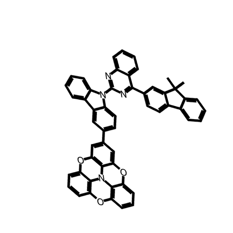 CC1(C)c2ccccc2-c2ccc(-c3nc(-n4c5ccccc5c5cc(-c6cc7c8c(c6)Oc6cccc9c6N8c6c(cccc6O7)O9)ccc54)nc4ccccc34)cc21